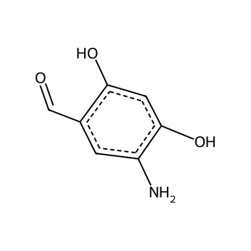 Nc1cc(C=O)c(O)cc1O